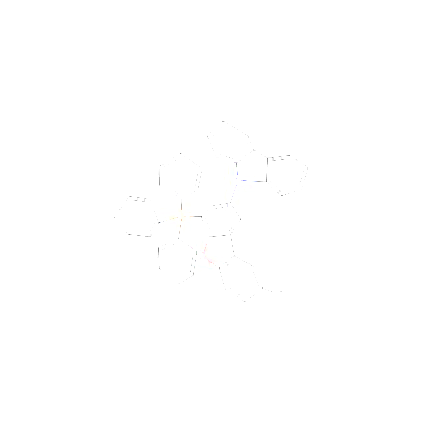 N#Cc1ccc2oc3c(S(c4ccccc4)(c4ccccc4)c4ccccc4)cc(-n4c5ccccc5c5ccccc54)cc3c2c1